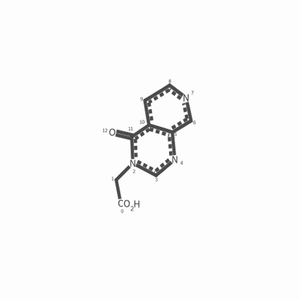 O=C(O)Cn1cnc2cnccc2c1=O